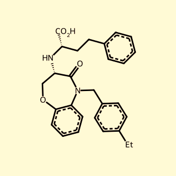 CCc1ccc(CN2C(=O)[C@@H](N[C@@H](CCc3ccccc3)C(=O)O)COc3ccccc32)cc1